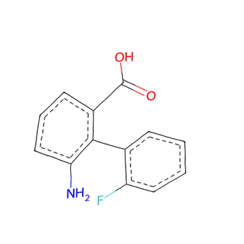 Nc1cccc(C(=O)O)c1-c1ccccc1F